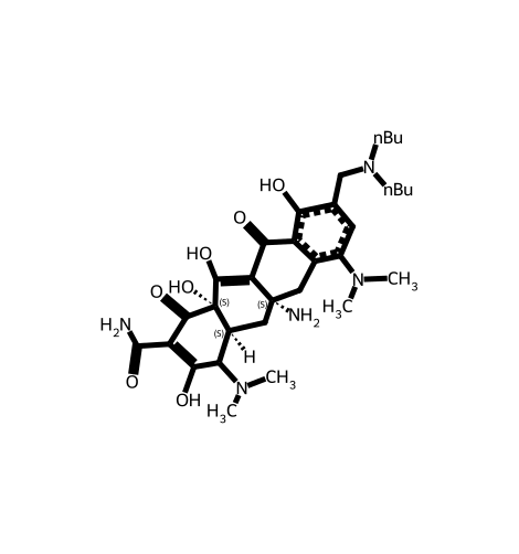 CCCCN(CCCC)Cc1cc(N(C)C)c2c(c1O)C(=O)C1=C(O)[C@]3(O)C(=O)C(C(N)=O)=C(O)C(N(C)C)[C@@H]3C[C@]1(N)C2